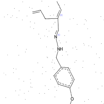 C=CCC(/C=N/NCc1ccc(OC)cc1)=C\C